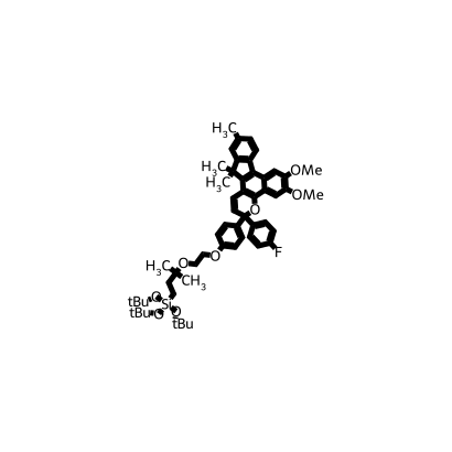 COc1cc2c3c(c4c(c2cc1OC)-c1ccc(C)cc1C4(C)C)C=CC(c1ccc(F)cc1)(c1ccc(OCCOC(C)(C)CC[Si](OC(C)(C)C)(OC(C)(C)C)OC(C)(C)C)cc1)O3